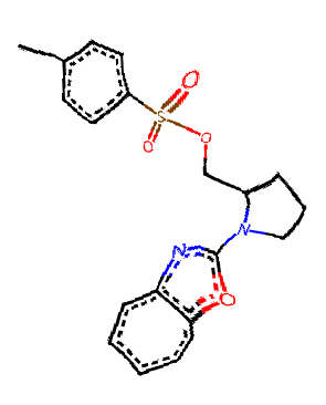 Cc1ccc(S(=O)(=O)OCC2CCCN2c2nc3ccccc3o2)cc1